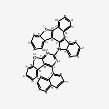 c1ccc2c(-c3nc(-n4c5ccccc5c5c6ccccc6c6sc7ccccc7c6c54)nc4oc5ccccc5c34)cccc2c1